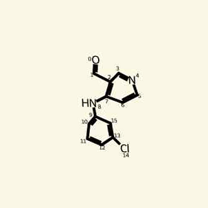 O=Cc1cnccc1Nc1cccc(Cl)c1